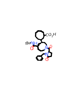 CC(C)(C)NC(=O)C1CCCN(C(=O)C2CCC(=O)N2Cc2ccccc2)CCC(C2CCCCCCC(C(=O)O)C2)C1